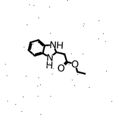 CCOC(=O)CC1Nc2ccccc2N1